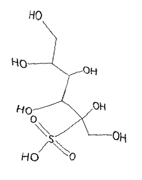 O=S(=O)(O)C(O)(CO)C(O)C(O)C(O)CO